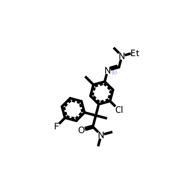 CCN(C)/C=N/c1cc(Cl)c(C(C)(C(=O)N(C)C)c2cccc(F)c2)cc1C